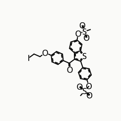 CS(=O)(=O)Oc1ccc(-c2sc3cc(OS(C)(=O)=O)ccc3c2C(=O)c2ccc(OCCI)cc2)cc1